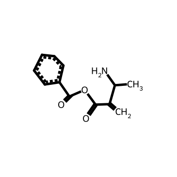 C=C(C(=O)OC(=O)c1ccccc1)C(C)N